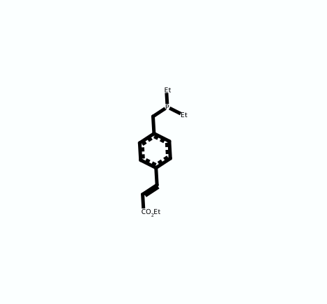 CCOC(=O)/C=C/c1ccc(CP(CC)CC)cc1